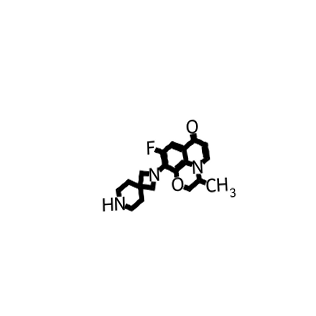 CC1COc2c(N3CC4(CCNCC4)C3)c(F)cc3c(=O)ccn1c23